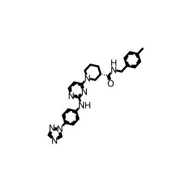 Cc1ccc(CNC(=O)[C@H]2CCCN(c3ccnc(Nc4ccc(-n5cncn5)cc4)n3)C2)cc1